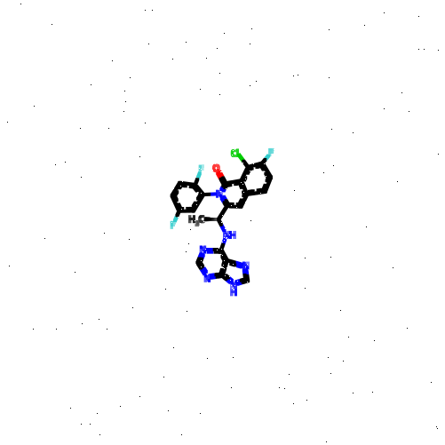 C[C@H](Nc1ncnc2[nH]cnc12)c1cc2ccc(F)c(Cl)c2c(=O)n1-c1cc(F)ccc1F